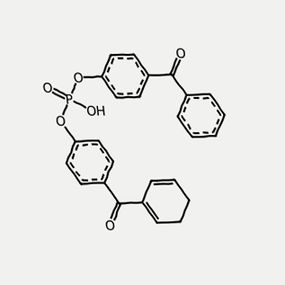 O=C(C1=CCCC=C1)c1ccc(OP(=O)(O)Oc2ccc(C(=O)c3ccccc3)cc2)cc1